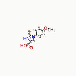 COc1ccc(-n2cc(C(=O)O)[nH]c2=S)cc1